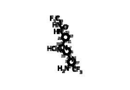 Cl.Nc1cc(-c2ccn3c(-c4cccc(NC(=O)NCC(F)(F)F)c4)cnc3c2)ncc1C(F)(F)F